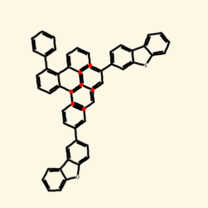 c1ccc(-c2ccccc2-c2c(-c3ccccc3)cccc2N(c2ccc(-c3ccc4c(c3)sc3ccccc34)cc2)c2ccc(-c3ccc4oc5ccccc5c4c3)cc2)cc1